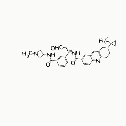 CN1CC(NC(=O)c2cccc([C@@H](CC=O)NC(=O)c3ccc4nc5c(cc4c3)CC(C3(C)CC3)CC5)c2)C1